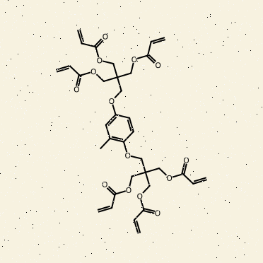 C=CC(=O)OCC(COC(=O)C=C)(COC(=O)C=C)COc1ccc(OCC(COC(=O)C=C)(COC(=O)C=C)COC(=O)C=C)c(C)c1